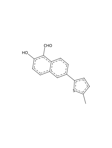 Cc1ccc(-c2ccc3c(C=O)c(O)ccc3c2)s1